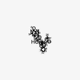 COc1nc(C)nc2c1ncn2[C@@H]1O[C@H](COP(=O)(N[C@@H](C)C(=O)OC(C)C)Oc2ccccc2)[C@H](O)[C@@]1(C)F